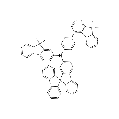 CC1(C)c2ccccc2-c2ccc(N(c3ccc(-c4cccc5c4-c4ccccc4C5(C)C)cc3)c3ccc4c(c3)C3(c5ccccc5-c5ccccc53)c3ccccc3-4)cc21